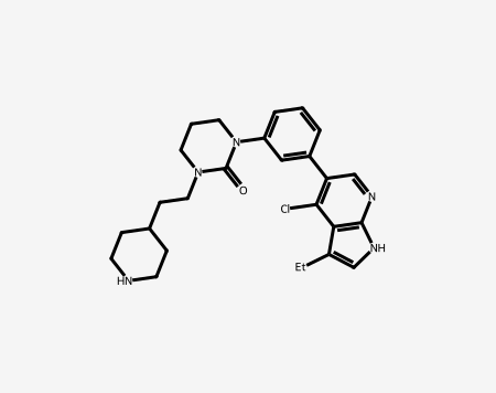 CCc1c[nH]c2ncc(-c3cccc(N4CCCN(CCC5CCNCC5)C4=O)c3)c(Cl)c12